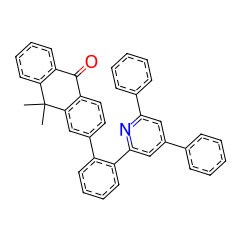 CC1(C)c2ccccc2C(=O)c2ccc(-c3ccccc3-c3cc(-c4ccccc4)cc(-c4ccccc4)n3)cc21